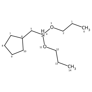 CCCO[SiH](CC1CCCC1)OCCC